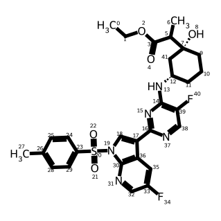 CCOC(=O)C(C)[C@@]1(O)CCC[C@H](Nc2nc(-c3cn(S(=O)(=O)c4ccc(C)cc4)c4ncc(F)cc34)ncc2F)C1